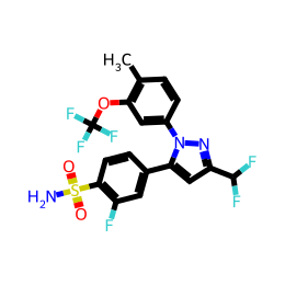 Cc1ccc(-n2nc(C(F)F)cc2-c2ccc(S(N)(=O)=O)c(F)c2)cc1OC(F)(F)F